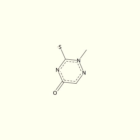 Cn1ncc(=O)nc1[S]